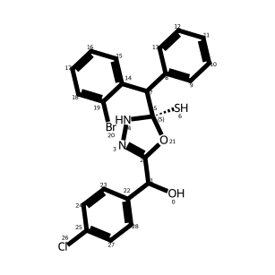 OC(C1=NN[C@@](S)(C(c2ccccc2)c2ccccc2Br)O1)c1ccc(Cl)cc1